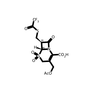 CC(=O)OCC1=C(C(=O)O)N2C(=O)[C@H](CSC(=O)C(F)(F)F)[C@H]2S(=O)(=O)C1